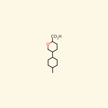 CC1CCC(C2CCC(C(=O)O)OC2)CC1